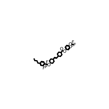 CCCCc1ccc(C(F)(F)OC2CCC(/C=C/C3CCC(C(=O)Oc4ccc(OC(F)(F)F)cc4)CC3)CC2)c(F)c1